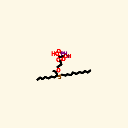 CCCCCCCCCCCSC(CCCCCCC)C(C)OCCCOC(O)([PH2]=O)C(=O)O